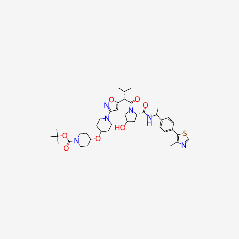 Cc1ncsc1-c1ccc(C(C)NC(=O)[C@@H]2C[C@@H](O)CN2C(=O)[C@H](c2cc(N3CCC(OC4CCN(C(=O)OC(C)(C)C)CC4)CC3)no2)C(C)C)cc1